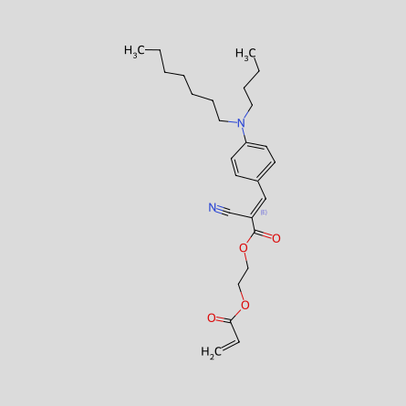 C=CC(=O)OCCOC(=O)/C(C#N)=C/c1ccc(N(CCCC)CCCCCCC)cc1